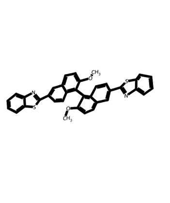 COc1ccc2cc(-c3nc4ccccc4s3)ccc2c1-c1c(OC)ccc2cc(-c3nc4ccccc4s3)ccc12